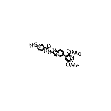 COc1cc(-c2ccc3nc(NC(=O)C4CCN(C#N)C4)cn3c2)c(OC)nn1